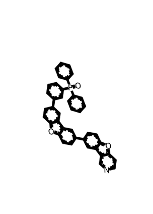 O=P(c1ccccc1)(c1ccccc1)c1cccc(-c2ccc3oc4ccc(-c5ccc6oc7ccncc7c6c5)cc4c3c2)c1